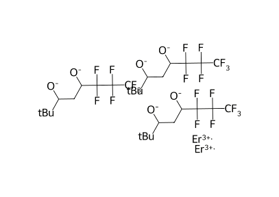 CC(C)(C)C([O-])CC([O-])C(F)(F)C(F)(F)C(F)(F)F.CC(C)(C)C([O-])CC([O-])C(F)(F)C(F)(F)C(F)(F)F.CC(C)(C)C([O-])CC([O-])C(F)(F)C(F)(F)C(F)(F)F.[Er+3].[Er+3]